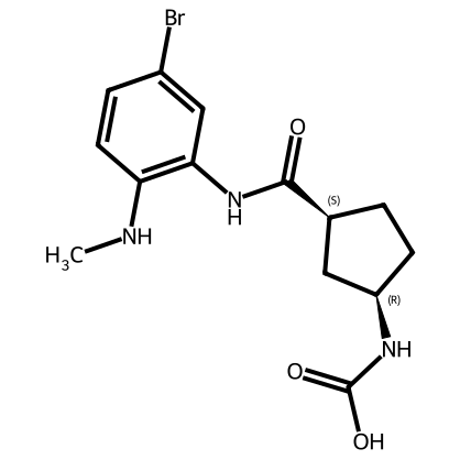 CNc1ccc(Br)cc1NC(=O)[C@H]1CC[C@@H](NC(=O)O)C1